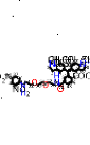 CN1CCc2cc3c(cc21)[Si](C)(C)c1cc2c(cc1=C3c1cc(C(=O)NCCOCCOCCNc3ccc([N+](=O)[O-])cc3[N+](=O)[O-])ccc1C(=O)[O-])CC[N+]=2C